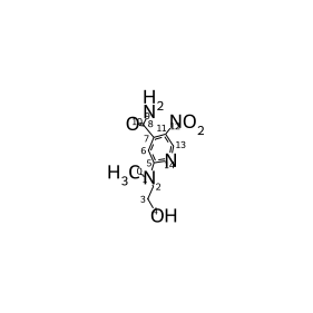 CN(CCO)c1cc(C(N)=O)c([N+](=O)[O-])cn1